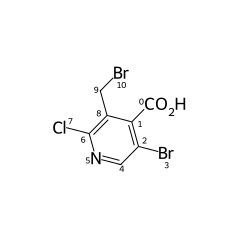 O=C(O)c1c(Br)cnc(Cl)c1CBr